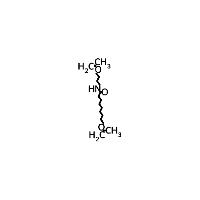 C=C(C)OCCCCCCCCC(=O)NCCCCOC(=C)C